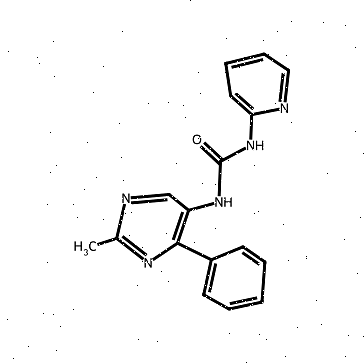 Cc1ncc(NC(=O)Nc2ccccn2)c(-c2ccccc2)n1